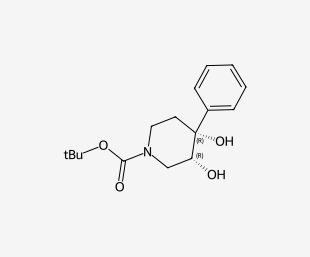 CC(C)(C)OC(=O)N1CC[C@@](O)(c2ccccc2)[C@H](O)C1